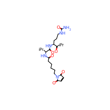 CC(C)C(=O)C(CCCNC(N)=O)NC(=O)C(NC(=O)CCCCCN1C(=O)C=CC1=O)C(C)C